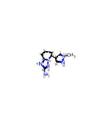 Cn1cc(-c2cccc3nc(N)nn23)cn1